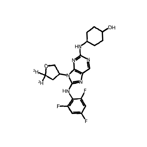 [2H]C1([2H])CC(n2c(Nc3c(F)cc(F)cc3F)nc3cnc(NC4CCC(O)CC4)nc32)CO1